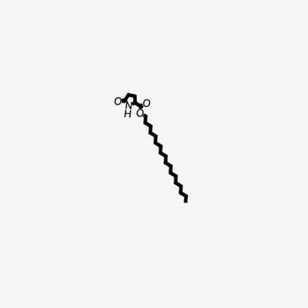 CCCCCCCCCCCCCCCCCCOC(=O)C1CCC(=O)N1